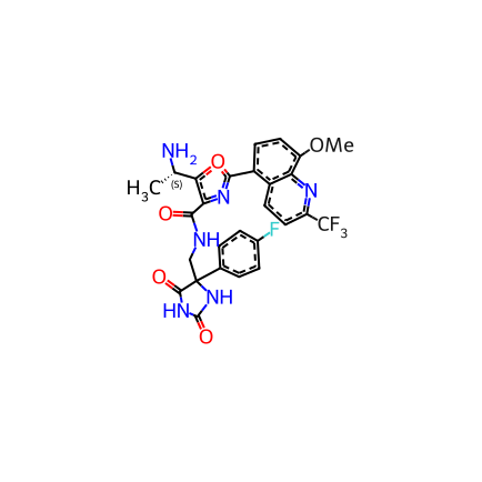 COc1ccc(-c2nc(C(=O)NCC3(c4ccc(F)cc4)NC(=O)NC3=O)c([C@H](C)N)o2)c2ccc(C(F)(F)F)nc12